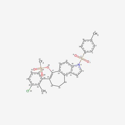 Cc1ccc(S(=O)(=O)n2ccc3c4c(ccc32)C(OS(=O)(=O)C(F)(F)F)=C(c2cccc(Cl)c2C)CCC4)cc1